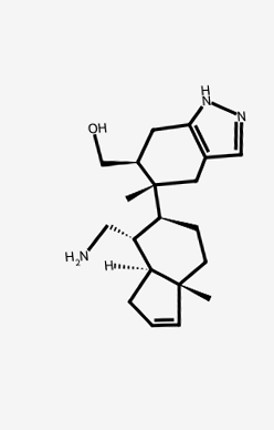 C[C@]1([C@H]2CC[C@]3(C)C=CC[C@H]3[C@@H]2CN)Cc2cn[nH]c2C[C@@H]1CO